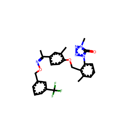 CC(=NOCc1cccc(C(F)(F)F)c1)c1ccc(OCc2c(C)cccc2-n2nnn(C)c2=O)c(C)c1